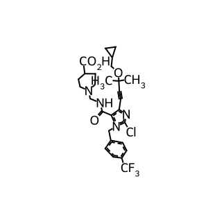 CC(C)(C#Cc1nc(Cl)n(Cc2ccc(C(F)(F)F)cc2)c1C(=O)NCN1CCC(C(=O)O)CC1)OCC1CC1